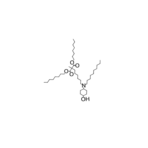 CCCCCCCCCCN(CCCCCCC(C)(C(=O)OCCCCCCCC)C(=O)OCCCCCCCC)[C@H]1CC[C@@H](O)CC1